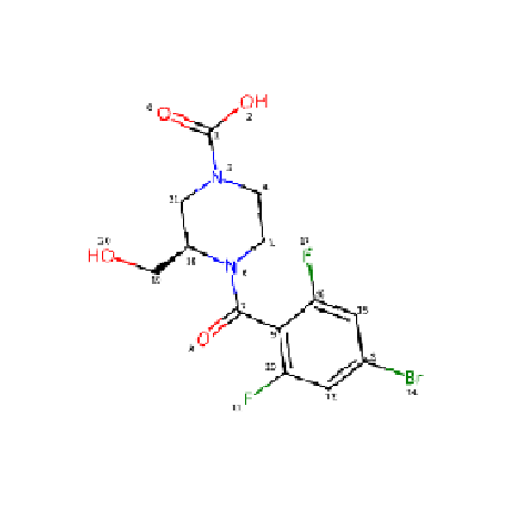 O=C(O)N1CCN(C(=O)c2c(F)cc(Br)cc2F)[C@@H](CO)C1